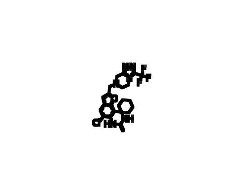 C=C1Nc2c(Cl)cc3cc(CN4CCn5c(nnc5C(F)(F)F)C4)oc3c2C2(CCCCC2)N1